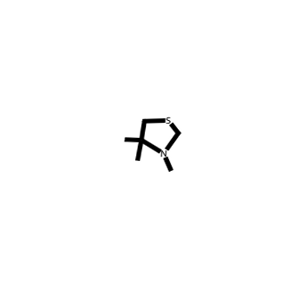 CN1[CH]SCC1(C)C